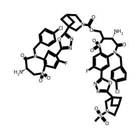 CS(=O)(=O)N1CC2CC(c3nnc(-c4cc5c(cc4F)S(=O)(=O)C(COC(=O)N4CC6CC(c7nnc(-c8cc9c(cc8F)S(=O)(=O)C[C@H](N)C(=O)N9Cc8ccc(Cl)cc8)o7)(C6)C4)[C@H](N)C(=O)N5Cc4ccc(Cl)cc4)o3)(C2)C1